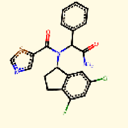 NC(=O)C(c1ccccc1)N(C(=O)c1cncs1)[C@@H]1CCc2c(F)cc(Cl)cc21